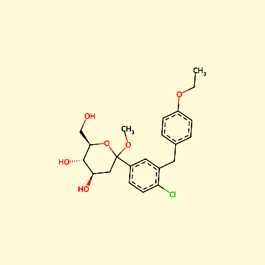 CCOc1ccc(Cc2cc(C3(OC)C[C@@H](O)[C@H](O)[C@@H](CO)O3)ccc2Cl)cc1